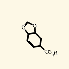 O=C(O)C1C=CC2OCOC2C1